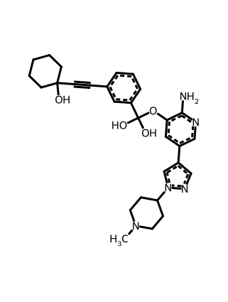 CN1CCC(n2cc(-c3cnc(N)c(OC(O)(O)c4cccc(C#CC5(O)CCCCC5)c4)c3)cn2)CC1